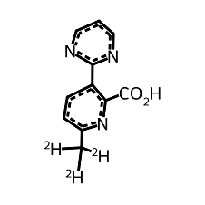 [2H]C([2H])([2H])c1ccc(-c2ncccn2)c(C(=O)O)n1